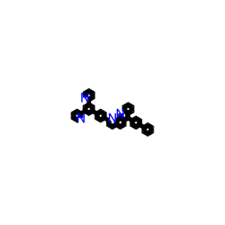 c1ccc(-c2ccc(-c3c4ccccc4nc4c3ccc3ccc(-c5ccc(-c6cc(-c7ccccn7)cc(-c7ccccn7)c6)cc5)nc34)cc2)cc1